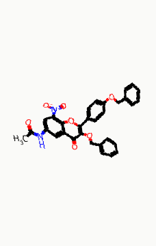 CC(=O)Nc1cc([N+](=O)[O-])c2oc(-c3ccc(OCc4ccccc4)cc3)c(OCc3ccccc3)c(=O)c2c1